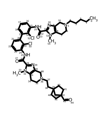 CCCCCN1CCc2c(nc(C(=O)Nc3cccc(-c4cccc(NC(=O)c5nc6c(n5C)CCN(CCC57CCC(C=O)(CC5)C7)C6)c4Cl)c3Cl)n2C)C1